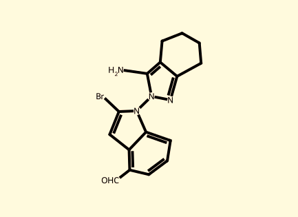 Nc1c2c(nn1-n1c(Br)cc3c(C=O)cccc31)CCCC2